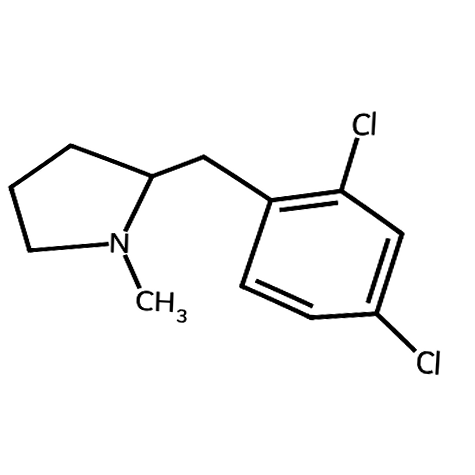 CN1CCCC1Cc1ccc(Cl)cc1Cl